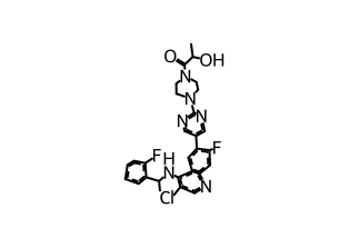 CC(O)C(=O)N1CCN(c2ncc(-c3cc4c(NC(C)c5ccccc5F)c(Cl)cnc4cc3F)cn2)CC1